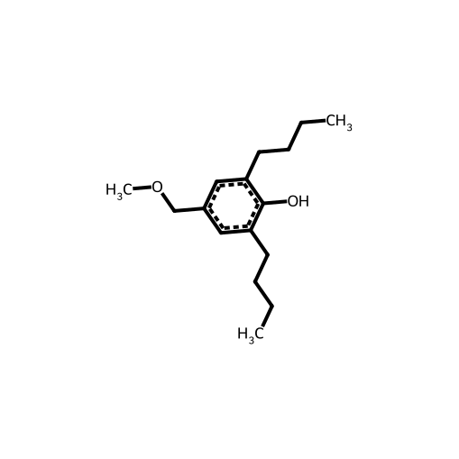 CCCCc1cc(COC)cc(CCCC)c1O